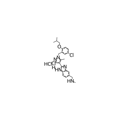 CNCc1ccc2[nH]c(-c3cnn(Cc4cc(Cl)ccc4OCC(C)C)c3C)nc2c1.Cl.Cl